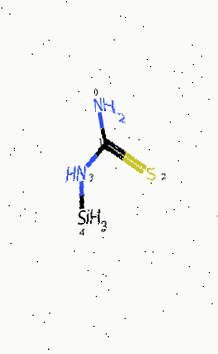 NC(=S)N[SiH3]